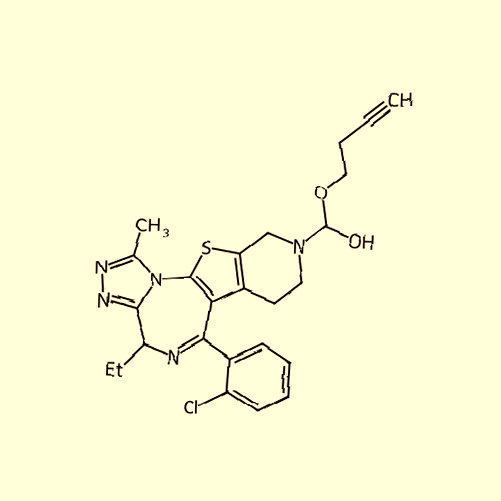 C#CCCOC(O)N1CCc2c(sc3c2C(c2ccccc2Cl)=NC(CC)c2nnc(C)n2-3)C1